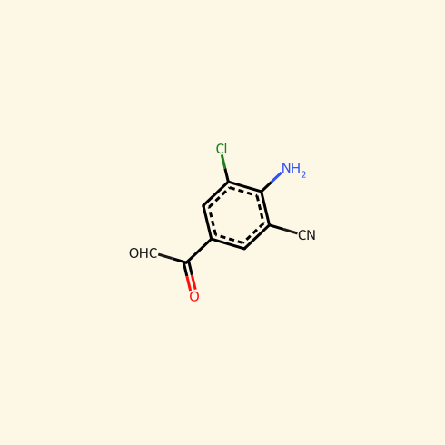 N#Cc1cc(C(=O)C=O)cc(Cl)c1N